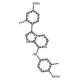 COc1ccc(-c2cnc3c(Nc4ccc(NC(C)=O)c(C)c4)nccn23)c(F)c1